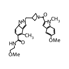 COCCNC(=O)c1ccc2nn(CC3CN(C(=O)c4cc5cc(OC)ccc5n4C)C3)cc2c1C